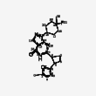 Cc1cnc(C2CCC2c2nc3c(cnn3C3CCC(C)(F)CC3)c(=O)[nH]2)o1